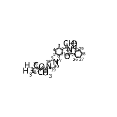 C[C@@H](c1cccc(CN2CCN(C(=O)OC(C)(C)C)CC2)c1)N1C(=O)c2ccccc2C1=O